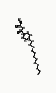 CCCCCCCCCCCCc1ccc(C(=O)CC(=O)OC)cc1